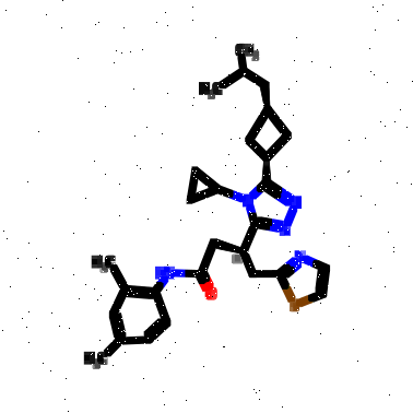 Cc1ccc(NC(=O)C[C@H](Cc2nccs2)c2nnc([C@H]3C[C@@H](CC(C)C)C3)n2C2CC2)c(C)c1